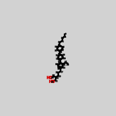 CCCCCc1ccc(-c2ccc(-c3ccc(CCCC(CO)CO)cc3CC)cc2)cc1